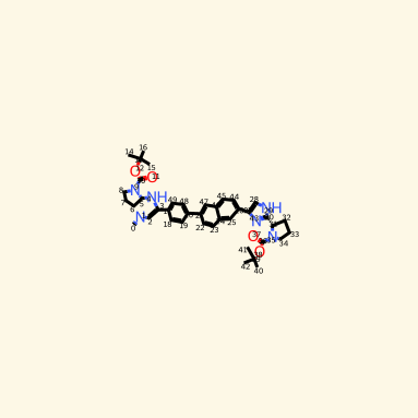 C=N/C=C(\NC1CCCN1C(=O)OC(C)(C)C)c1ccc(-c2ccc3cc(-c4c[nH]c([C@@H]5CCCN5C(=O)OC(C)(C)C)n4)ccc3c2)cc1